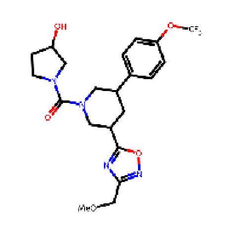 COCc1noc(C2CC(c3ccc(OC(F)(F)F)cc3)CN(C(=O)N3CCC(O)C3)C2)n1